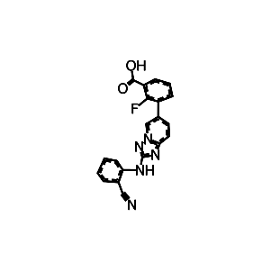 N#Cc1ccccc1Nc1nc2ccc(-c3cccc(C(=O)O)c3F)cn2n1